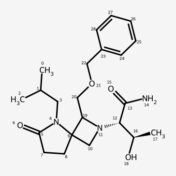 CC(C)CN1C(=O)CCC12CN([C@H](C(N)=O)[C@@H](C)O)C2COCc1ccccc1